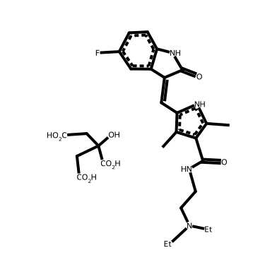 CCN(CC)CCNC(=O)c1c(C)[nH]c(C=C2C(=O)Nc3ccc(F)cc32)c1C.O=C(O)CC(O)(CC(=O)O)C(=O)O